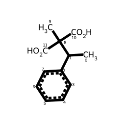 CC(c1ccccc1)C(C)(C(=O)O)C(=O)O